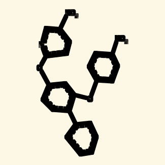 O=[N+]([O-])c1ccc(Oc2cc(Oc3ccc([N+](=O)[O-])cn3)ccc2-c2ccccc2)cc1